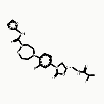 O=C(NC[C@H]1CN(c2ccc(N3CCON(C(=O)Nc4ncco4)CC3)c(F)c2)C(=O)O1)C(F)F